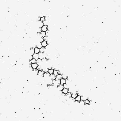 CC(C)OCCn1c(Cc2cc(F)c(-c3cccc(OCc4cnc(-n5ccnn5)cc4Cl)n3)cc2F)nc2ccc(C(=O)OC(=O)c3ccc4nc(Cc5cc(F)c(-c6cccc(OCc7cnc(-n8ccnn8)cc7Cl)n6)cc5F)n(CCOC(C)C)c4c3)cc21